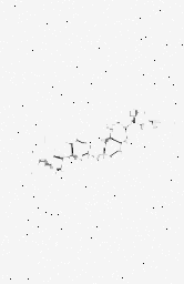 Cc1cnc(Nc2ccc3c(n2)NCC(C(=O)OC(C)(C)C)C3)nc1-c1cnn(C(C)C)c1